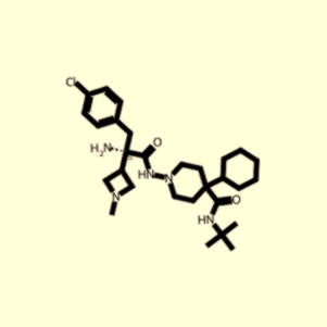 CN1CC([C@@](N)(Cc2ccc(Cl)cc2)C(=O)NN2CCC(C(=O)NC(C)(C)C)(C3CCCCC3)CC2)C1